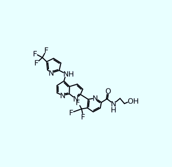 O=C(NCCO)c1ccc(C(F)(F)F)c(-c2ccc3c(Nc4ccc(C(F)(F)F)cn4)ccnc3n2)n1